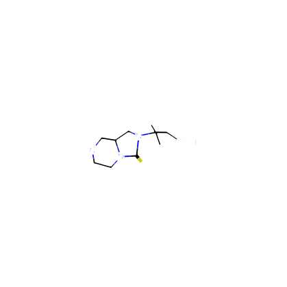 CCOC(=O)CC(C)(C)N1CC2CNCCN2C1=S